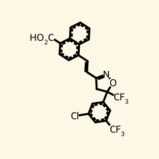 O=C(O)c1ccc(/C=C/C2=NOC(c3cc(Cl)cc(C(F)(F)F)c3)(C(F)(F)F)C2)c2ccccc12